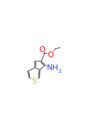 CCOC(=O)c1cc2ccscc-2c1N